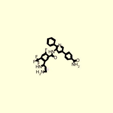 N=C(/C=C\N)c1cc(C(=O)Nc2cc(-c3ccc(C(N)=O)cc3)cnc2-c2ccccc2)c(F)cc1C(F)(F)F